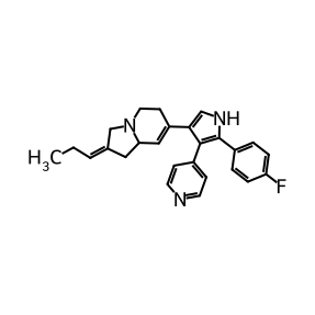 CCC=C1CC2C=C(c3c[nH]c(-c4ccc(F)cc4)c3-c3ccncc3)CCN2C1